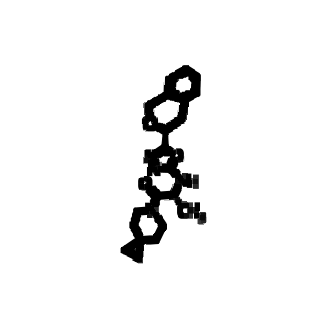 C[C@@H](Nc1nnc([C@@H]2Cc3ccccc3CO2)o1)C(=O)N1CCC2(CC1)CC2